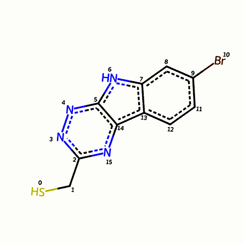 SCc1nnc2[nH]c3cc(Br)ccc3c2n1